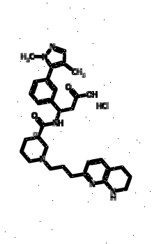 Cc1cnn(C)c1-c1cccc(C(CC(=O)O)NC(=O)[C@@H]2CCCN(CCCc3ccc4c(n3)NCCC4)C2)c1.Cl